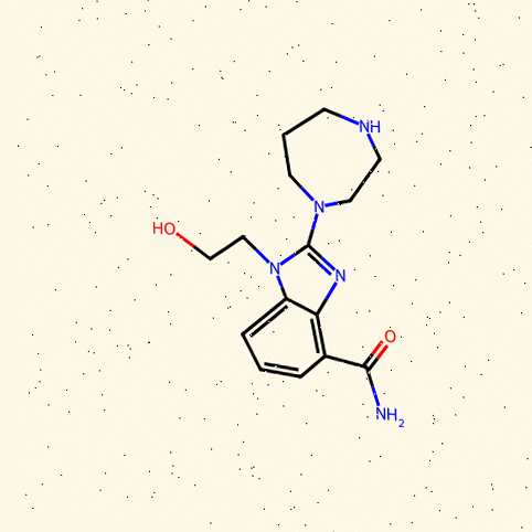 NC(=O)c1cccc2c1nc(N1CCCNCC1)n2CCO